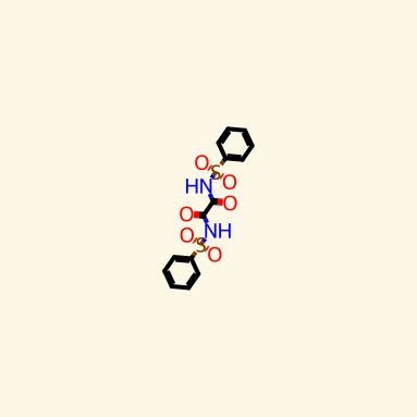 O=C(NS(=O)(=O)c1ccccc1)C(=O)NS(=O)(=O)c1ccccc1